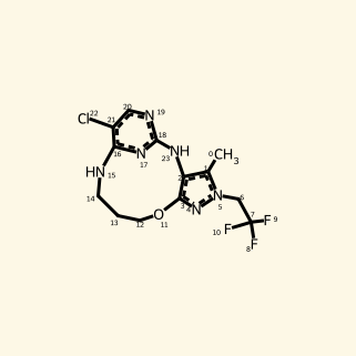 Cc1c2c(nn1CC(F)(F)F)OCCCNc1nc(ncc1Cl)N2